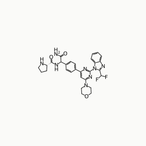 NC(=O)C(NC(=O)[C@@H]1CCCN1)c1ccc(-c2cc(N3CCOCC3)nc(-n3c(C(F)F)nc4ccccc43)n2)cc1